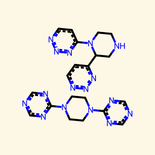 c1cc(C2CNCCN2c2ccnnn2)nnn1.c1ncnc(N2CCN(c3ncncn3)CC2)n1